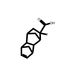 O=C(O)C1(F)CC2CC1C1C3C=CC(C3)C21